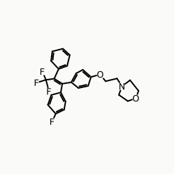 Fc1ccc(C(=C(c2ccccc2)C(F)(F)F)c2ccc(OCCN3CCOCC3)cc2)cc1